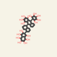 Oc1c(O)c(O)c2c(c1O)OOc1c(O)c(O)c(O)c3c(-c4cccc5c(-c6c(O)c(O)c7c(O)c(O)c(O)c(O)c7c6O)cccc45)c4ccccc4c-2c13